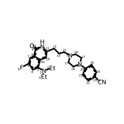 CCN(CC)c1cc(F)cc2c(=O)[nH]c(CCCN3CCN(c4ccc(C#N)cc4)CC3)cc12